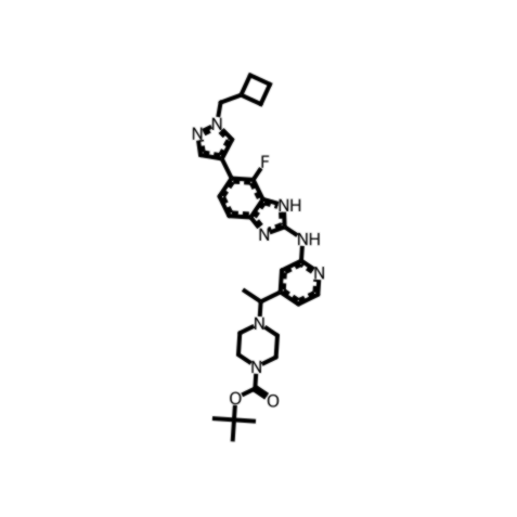 CC(c1ccnc(Nc2nc3ccc(-c4cnn(CC5CCC5)c4)c(F)c3[nH]2)c1)N1CCN(C(=O)OC(C)(C)C)CC1